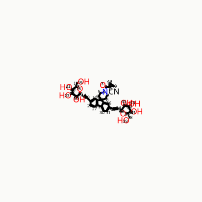 N#CC1(C(=O)N2CCC3(CC2)c2cc(C#C[C@H]4O[C@H](CO)[C@@H](O)[C@H](O)[C@@H]4O)ccc2-c2ccc(C#C[C@H]4O[C@H](CO)[C@@H](O)[C@H](O)[C@@H]4O)cc23)CC1